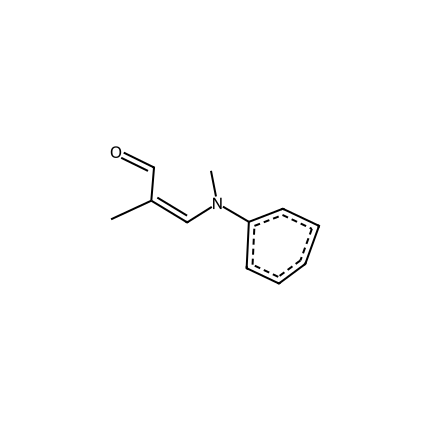 CC(C=O)=CN(C)c1ccccc1